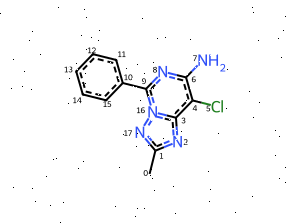 Cc1nc2c(Cl)c(N)nc(-c3ccccc3)n2n1